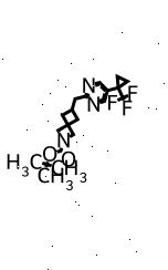 CC(C)(C)OC(=O)N1CC2(CC(Cc3ncc(C4(C(F)(F)F)CC4)cn3)C2)C1